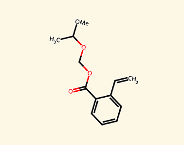 C=Cc1ccccc1C(=O)OCOC(C)OC